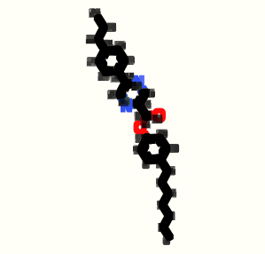 CCCCCCCc1ccc(OC(=O)c2cnc(-c3ccc(CCC)cc3)cn2)cc1